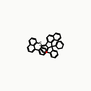 C1=CCCC(C2(c3ccccc3-c3ccc4c(c3)Sc3cccc5cccc-4c35)c3ccccc3-c3ccc4ccccc4c32)=C1